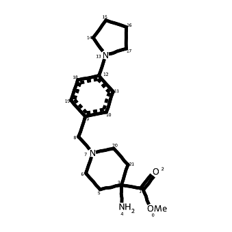 COC(=O)C1(N)CCN(Cc2ccc(N3CCCC3)cc2)CC1